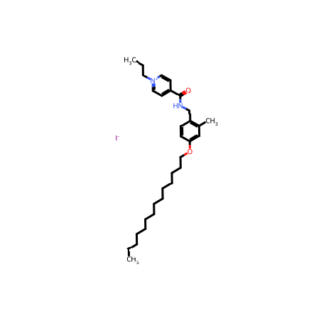 CCCCCCCCCCCCCCOc1ccc(CNC(=O)c2cc[n+](CCC)cc2)c(C)c1.[I-]